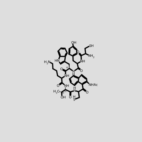 CC(=O)Nc1ccc2ccccc2c1C(=O)C(CS)NC(=O)[C@@H](NC(=O)C(CCCCN)NC(=O)[C@@H](Cc1c[nH]c2ccccc12)NC(=O)C(Cc1ccc(O)cc1)NC(=O)C(N)CS)[C@@H](C)O